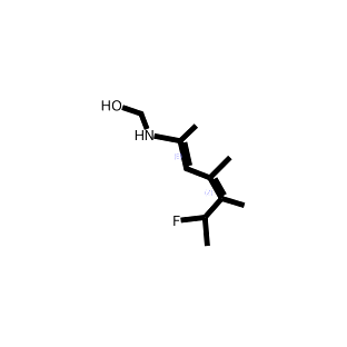 CC(/C=C(\C)NCO)=C(\C)C(C)F